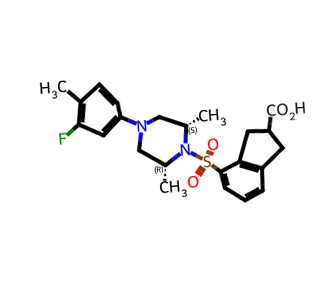 Cc1ccc(N2C[C@@H](C)N(S(=O)(=O)c3cccc4c3CC(C(=O)O)C4)[C@@H](C)C2)cc1F